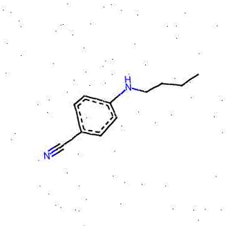 CCCCNc1ccc(C#N)cc1